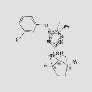 Cc1noc(N2C[C@H]3CC[C@@H](C2)[C@H]3Nc2nc(Oc3cccc(Cl)c3)n(C(C)C)n2)n1